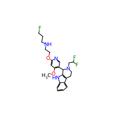 COc1cc(OCCNCCCF)ncc1C1c2[nH]c3ccccc3c2CCN1CC(F)F